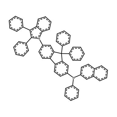 c1ccc(-c2c(-c3ccccc3)n(-c3ccc4c(c3)C(c3ccccc3)(c3ccccc3)c3cc(N(c5ccccc5)c5ccc6ccccc6c5)ccc3-4)c3ccccc23)cc1